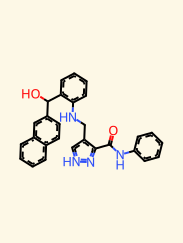 O=C(Nc1ccccc1)c1n[nH]cc1CNc1ccccc1C(O)c1ccc2ccccc2c1